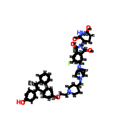 CCC(=C(c1ccc(O)cc1)c1ccc(OCCN2CCC(CN3CC4CC3CN4c3cc4c(cc3F)C(=O)N(C3CCC(=O)NC3=O)C4=O)CC2)cc1)c1ccccc1